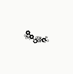 CS(=O)(=O)c1ccccc1-c1ccc(N2CCCC(F)(NS(=O)(=O)c3cnc(Cl)c(Br)c3)C2=O)cc1